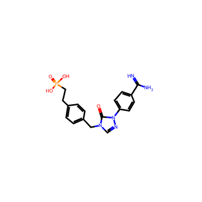 N=C(N)c1ccc(-n2ncn(Cc3ccc(CCP(=O)(O)O)cc3)c2=O)cc1